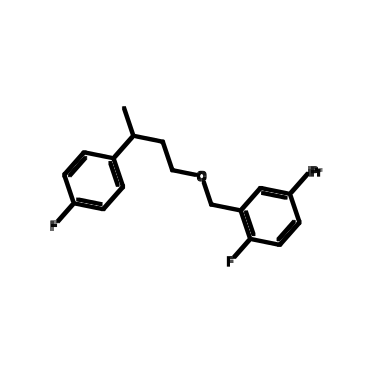 CC(C)c1ccc(F)c(COCCC(C)c2ccc(F)cc2)c1